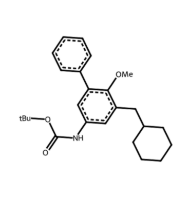 COc1c(CC2CCCCC2)cc(NC(=O)OC(C)(C)C)cc1-c1ccccc1